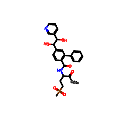 COC(=O)C(CCS(C)(=O)=O)NC(=O)c1ccc(C(O)C(O)c2cccnc2)cc1-c1ccccc1